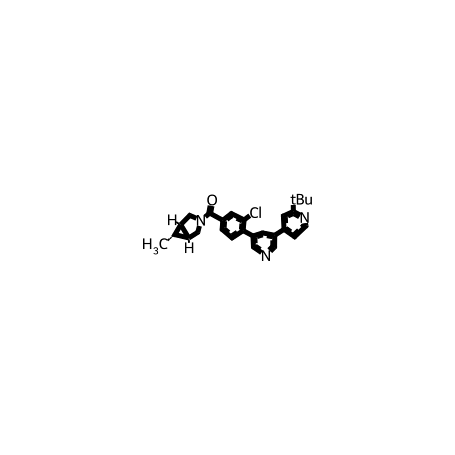 C[C@@H]1[C@H]2CN(C(=O)c3ccc(-c4cncc(-c5ccnc(C(C)(C)C)c5)c4)c(Cl)c3)C[C@@H]12